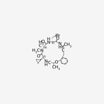 CC(C)C[C@H]1NC(=O)[C@@H](C)N(C)C(=O)[C@H](C2CC2)NCC(C)Oc2ccccc2CC[C@H](C)NC1=O